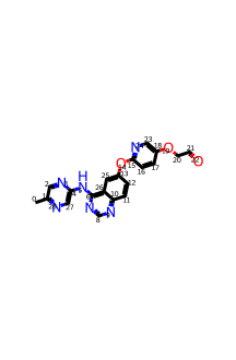 Cc1cnc(Nc2ncnc3ccc(Oc4ccc(OCC=O)cn4)cc23)cn1